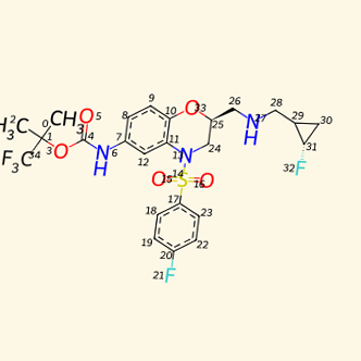 CC(C)(OC(=O)Nc1ccc2c(c1)N(S(=O)(=O)c1ccc(F)cc1)C[C@H](CNCC1C[C@@H]1F)O2)C(F)(F)F